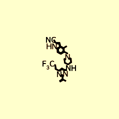 C=C(C)c1nc(CCC(F)(F)F)cc(NC2CCN(Cc3ccc4[nH]c(C#N)cc4c3C)CC2)n1